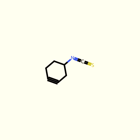 S=C=NC1CC#CCC1